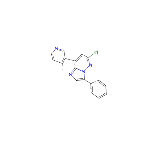 Cc1ccncc1-c1cc(Cl)nn2c(-c3ccccc3)cnc12